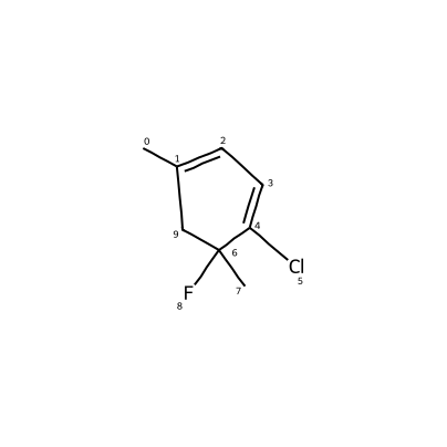 CC1=CC=C(Cl)C(C)(F)C1